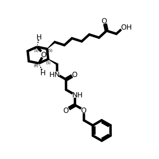 O=C(CO)CCCCCC[C@H]1[C@@H](CNC(=O)CNC(=O)OCc2ccccc2)[C@H]2CC[C@@H]1O2